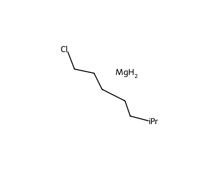 CC(C)CCCCCCl.[MgH2]